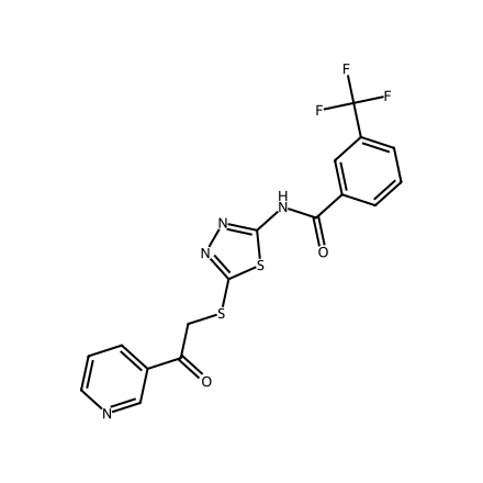 O=C(CSc1nnc(NC(=O)c2cccc(C(F)(F)F)c2)s1)c1cccnc1